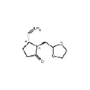 C=C[C@H]1CCC(=O)[C@@H]1CC1OCCO1